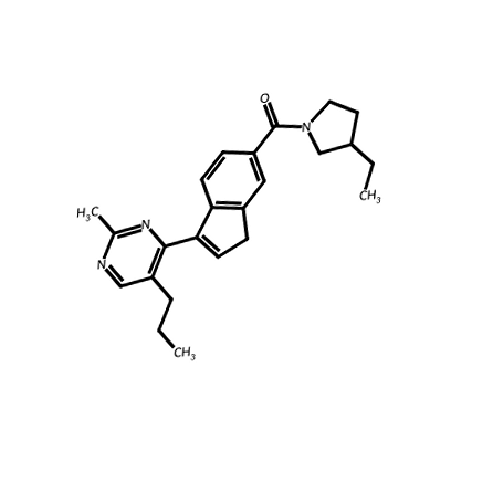 CCCc1cnc(C)nc1C1=CCc2cc(C(=O)N3CCC(CC)C3)ccc21